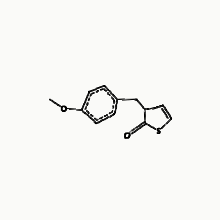 COc1ccc(CC2C=CSC2=O)cc1